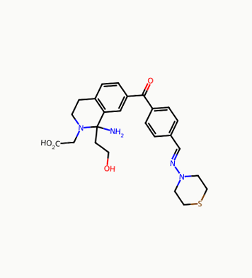 NC1(CCO)c2cc(C(=O)c3ccc(C=NN4CCSCC4)cc3)ccc2CCN1CC(=O)O